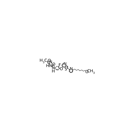 COCCCCCCCc1cccc(-c2cc3nccc(OC4=C(F)CC(NC(=O)Nc5cc(C)on5)C=C4)c3s2)n1